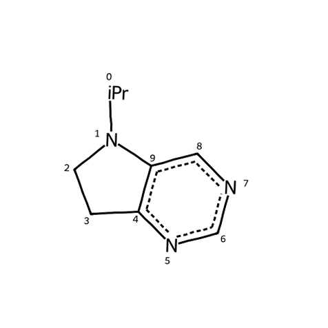 CC(C)N1CCc2ncncc21